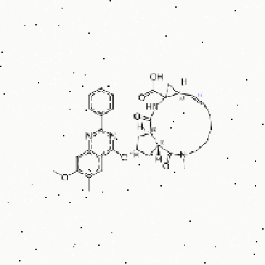 COc1cc2nc(-c3ccccc3)nc(O[C@@H]3C[C@H]4C(=O)NC5(C(=O)O)C[C@H]5/C=C\CCCCN(C)C(=O)[C@@H]4C3)c2cc1C